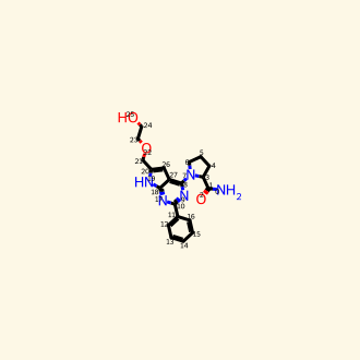 NC(=O)C1CCCN1c1nc(-c2ccccc2)nc2[nH]c(COCCO)cc12